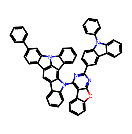 c1ccc(-c2ccc3c4cc5c6ccccc6n(-c6nc(-c7ccc8c(c7)c7ccccc7n8-c7ccccc7)nc7oc8ccccc8c67)c5c5c6ccccc6n(c3c2)c45)cc1